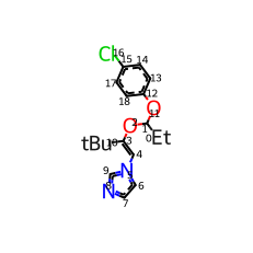 CCC(OC(=Cn1ccnc1)C(C)(C)C)Oc1ccc(Cl)cc1